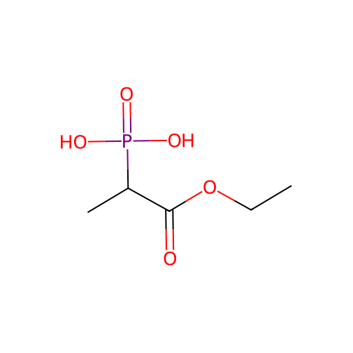 CCOC(=O)C(C)P(=O)(O)O